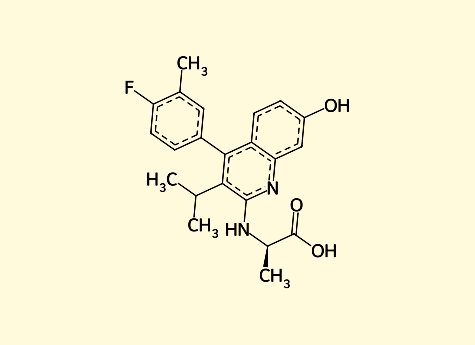 Cc1cc(-c2c(C(C)C)c(N[C@H](C)C(=O)O)nc3cc(O)ccc23)ccc1F